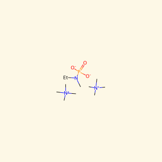 CCN(C)P(=O)([O-])[O-].C[N+](C)(C)C.C[N+](C)(C)C